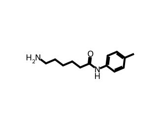 Cc1ccc(NC(=O)CCCCCN)cc1